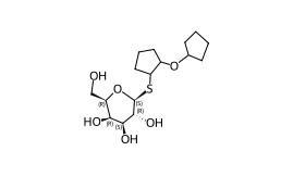 OC[C@H]1O[C@@H](SC2CCCC2OC2CCCC2)[C@H](O)[C@@H](O)[C@H]1O